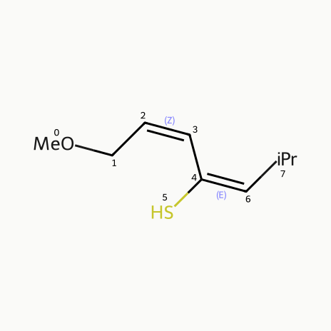 COC/C=C\C(S)=C/C(C)C